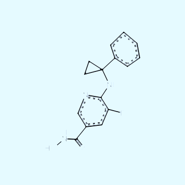 O=C(NO)c1cnc(NC2(c3ccccc3)CC2)c(F)c1